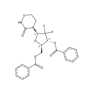 O=C(OC[C@H]1O[C@@H](N2CCSNC2=O)C(F)(F)[C@@H]1OC(=O)c1ccccc1)c1ccccc1